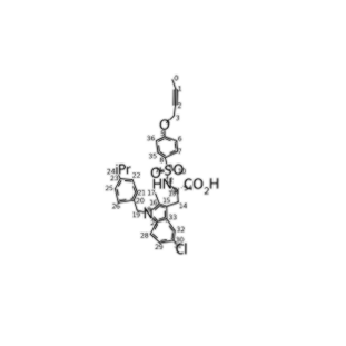 CC#CCOc1ccc(S(=O)(=O)N[C@@H](Cc2c(C)n(Cc3ccc(C(C)C)cc3)c3ccc(Cl)cc23)C(=O)O)cc1